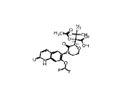 CC(=O)O[C@@](C(=O)O)([C@H]1OCCN(c2cc3ccc(=O)[nH]c3cc2OC(F)F)C1=O)C(C)(C)C